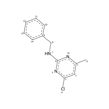 Cc1cc(Cl)nc(NCc2ccccc2)n1